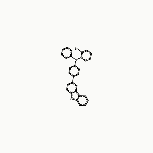 Brc1ccccc1N(c1ccccc1)c1ccc(-c2ccc3oc4ccccc4c3c2)cc1